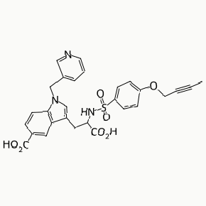 CC#CCOc1ccc(S(=O)(=O)NC(Cc2cn(Cc3cccnc3)c3ccc(C(=O)O)cc23)C(=O)O)cc1